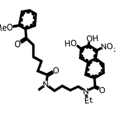 CCN(CCCCN(C)C(=O)CCCCC(=O)c1ccccc1OC)C(=O)c1ccc2c([N+](=O)[O-])c(O)c(O)cc2c1